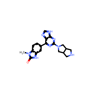 Cn1c(=O)[nH]c2cc(-c3nc(N4CC5CNCC5C4)nc4[nH]cnc34)ccc21